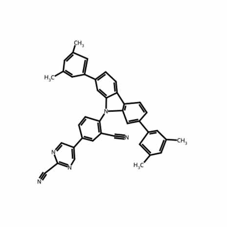 Cc1cc(C)cc(-c2ccc3c4ccc(-c5cc(C)cc(C)c5)cc4n(-c4ccc(-c5cnc(C#N)nc5)cc4C#N)c3c2)c1